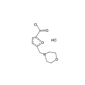 Cl.O=C(Cl)c1ccc(CN2CCOCC2)o1